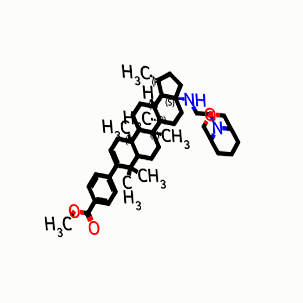 COC(=O)c1ccc(C2=CC[C@@]3(C)C(CC[C@]4(C)C3CC[C@@H]3C5[C@H](C)CC[C@]5(NCCN5C6CCCC5COC6)CC[C@]34C)C2(C)C)cc1